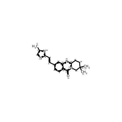 Cc1csc(C=Cc2ccc3c(=O)n4c(nc3c2)CCC(C)(C)C4)n1